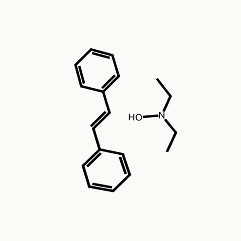 C(=Cc1ccccc1)c1ccccc1.CCN(O)CC